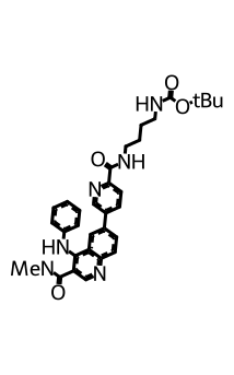 CNC(=O)c1cnc2ccc(-c3ccc(C(=O)NCCCCNC(=O)OC(C)(C)C)nc3)cc2c1Nc1ccccc1